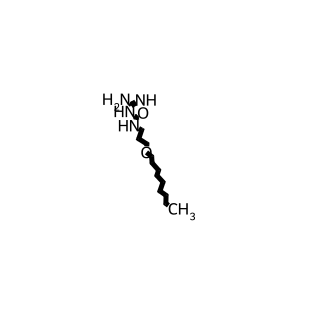 CCCCCCCCCOCCCNC(=O)NC(=N)N